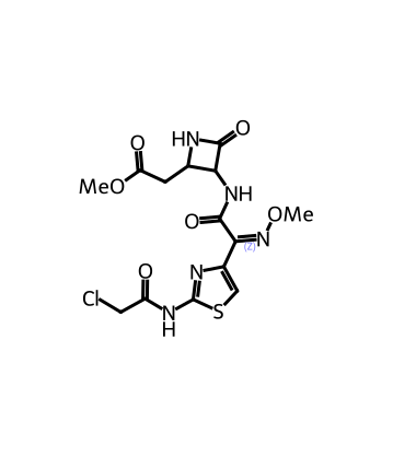 CO/N=C(\C(=O)NC1C(=O)NC1CC(=O)OC)c1csc(NC(=O)CCl)n1